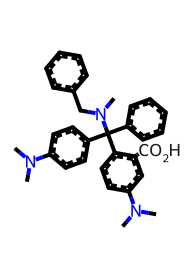 CN(C)c1ccc(C(c2ccccc2)(c2ccc(N(C)C)cc2C(=O)O)N(C)Cc2ccccc2)cc1